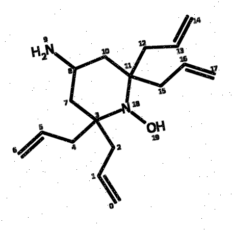 C=CCC1(CC=C)CC(N)CC(CC=C)(CC=C)N1O